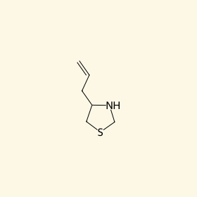 C=CCC1CSCN1